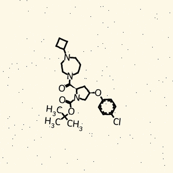 CC(C)(C)OC(=O)N1C[C@H](Oc2ccc(Cl)cc2)C[C@@H]1C(=O)N1CCCN(C2CCC2)CC1